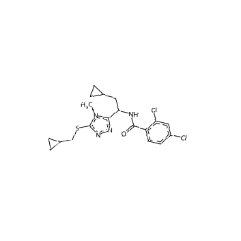 Cn1c(SCC2CC2)nnc1C(CC1CC1)NC(=O)c1ccc(Cl)cc1Cl